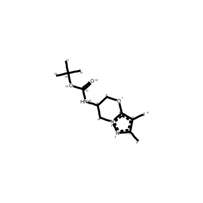 Cc1nn2c(c1I)OCC(NC(=O)OC(C)(C)C)C2